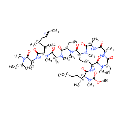 C/C=C/C[C@@H](C)[C@@H](OC(C)=O)[C@@H](C(=O)N[C@@H](CC)C(=O)N(C)[C@H](C)C(=O)O)N(C)C(=O)[C@H](C(C)C)N(C)C(=O)[C@H](CC(C)C)N(C)C(=O)[C@H](CC(C)C)N(C)C(=O)[C@@H](C)NC(=O)[C@H](C)NC(=O)[C@H](CC(C)C)N(C)C(=O)[C@@H](NC(=O)[C@H]([C@H](C)CCC(=O)OCC)N(C)C(=O)OC(C)(C)C)C(C)C